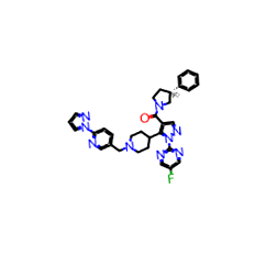 O=C(c1cnn(-c2ncc(F)cn2)c1C1CCN(Cc2ccc(-n3cccn3)nc2)CC1)N1CC[C@H](c2ccccc2)C1